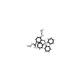 CCOC(=O)c1ccc(OC)c(C[P+](c2ccccc2)(c2ccccc2)c2ccccc2)c1.[Br-]